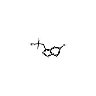 OC(F)(F)Cc1nnc2ccc(Br)cn12